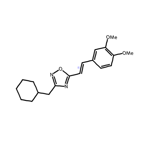 COc1ccc(/C=C/c2nc(CC3CCCCC3)no2)cc1OC